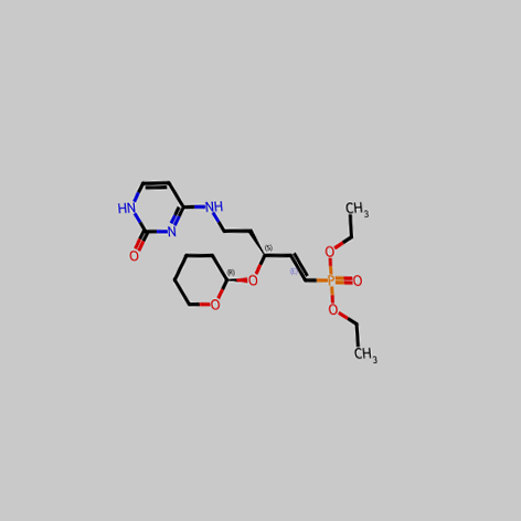 CCOP(=O)(/C=C/[C@H](CCNc1cc[nH]c(=O)n1)O[C@@H]1CCCCO1)OCC